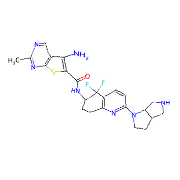 Cc1ncc2c(N)c(C(=O)NC3CCc4nc(N5CCC6CNCC65)ccc4C3(F)F)sc2n1